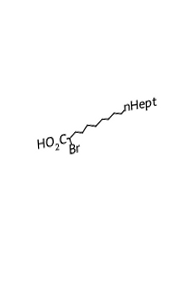 CCCCCCCCCCCCCCCC(Br)C(=O)O